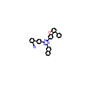 N#Cc1ccccc1-c1ccc(-c2nc(-c3ccc4ccccc4c3)nc(-c3ccc4c(c3)oc3cccc(-c5ccccc5)c34)n2)cc1